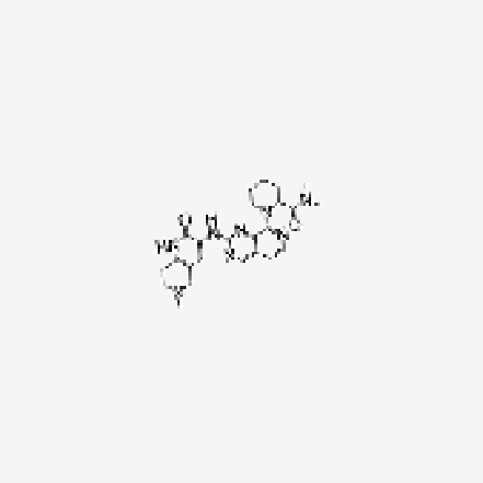 CN1CCc2[nH]c(=O)c(Nc3ncc4ccnc(N5CCCCC5C(=O)N(C)C)c4n3)cc2C1